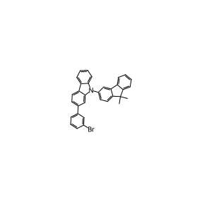 CC1(C)c2ccccc2-c2cc(-n3c4ccccc4c4ccc(-c5cccc(Br)c5)cc43)ccc21